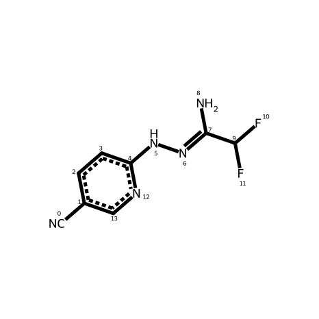 N#Cc1ccc(N/N=C(\N)C(F)F)nc1